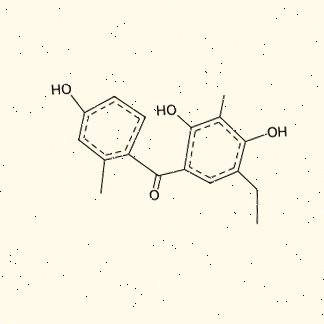 CCc1cc(C(=O)c2ccc(O)cc2C)c(O)c(C)c1O